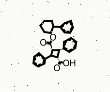 O=C(O)[C@@H]1C(c2ccccc2)[C@@H](C(=O)O[C@@H]2CCCCC2c2ccccc2)[C@@H]1c1ccccc1